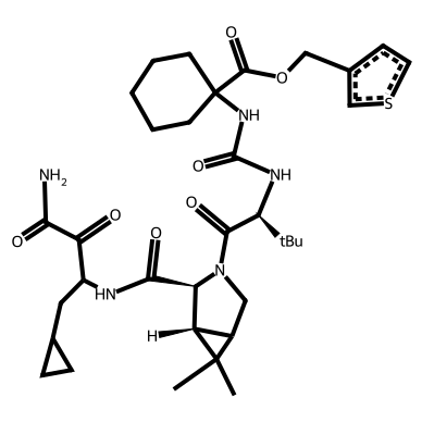 CC(C)(C)[C@H](NC(=O)NC1(C(=O)OCc2ccsc2)CCCCC1)C(=O)N1CC2[C@@H]([C@H]1C(=O)NC(CC1CC1)C(=O)C(N)=O)C2(C)C